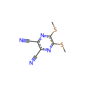 CSc1nc(C#N)c(C#N)nc1SC